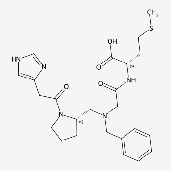 CSCC[C@H](NC(=O)CN(Cc1ccccc1)C[C@@H]1CCCN1C(=O)Cc1c[nH]cn1)C(=O)O